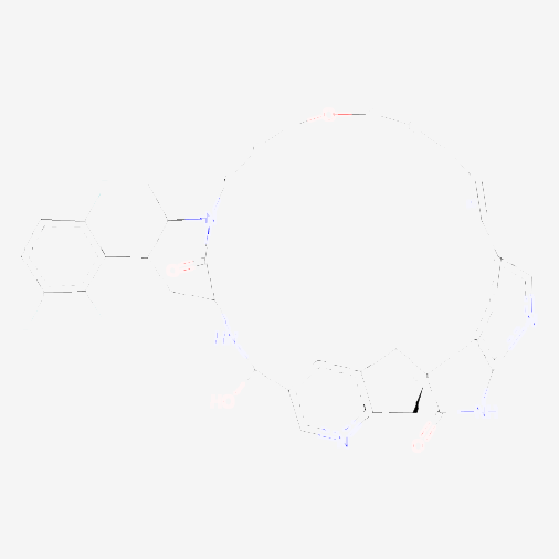 CC1C(c2c(F)ccc(F)c2F)CC2NC(O)c3cnc4c(c3)C[C@@]3(C4)C(=O)Nc4ncc(cc43)/C=C/CCCOCCCN1C2=O